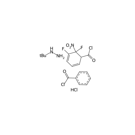 CC(C)(C)NN.Cl.O=C(Cl)C1C=CC=C(F)C1(F)[N+](=O)[O-].O=C(Cl)c1ccccc1